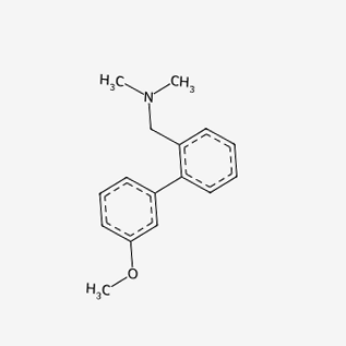 COc1cccc(-c2ccccc2CN(C)C)c1